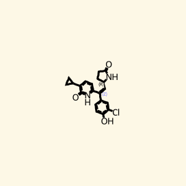 O=C1CC[C@H](/C=C(/c2ccc(O)c(Cl)c2)c2ccc(C3CC3)c(=O)[nH]2)N1